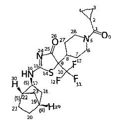 O=C(C1CC1)N1CCC(C2(C(F)(F)F)SC(N[C@H]3C[C@@H]4CC[C@H]3C4)=NC2=O)CC1